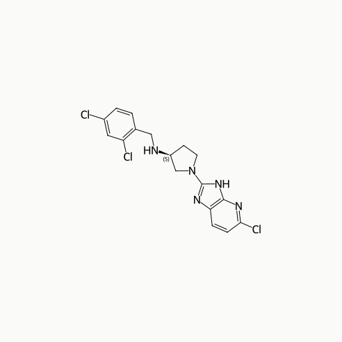 Clc1ccc(CN[C@H]2CCN(c3nc4ccc(Cl)nc4[nH]3)C2)c(Cl)c1